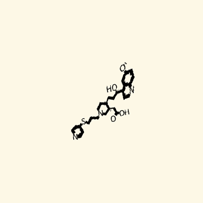 COc1ccc2nccc([C@@H](O)CC[C@@H]3CCN(CCCSc4ccncc4)C[C@@H]3CC(=O)O)c2c1